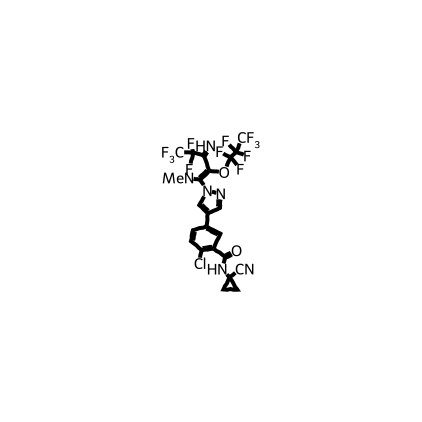 CN/C(=C(/OC(F)(F)C(F)(F)C(F)(F)F)C(=N)C(F)(F)C(F)(F)F)n1cc(-c2ccc(Cl)c(C(=O)NC3(C#N)CC3)c2)cn1